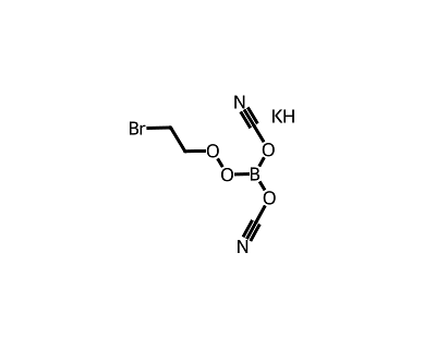 N#COB(OC#N)OOCCBr.[KH]